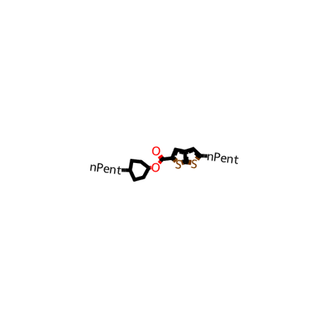 CCCCCc1cc2cc(C(=O)OC3CCC(CCCCC)CC3)sc2s1